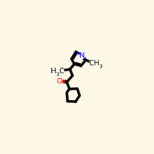 Cc1cc(C(C)CC(=O)C2CCCCC2)ccn1